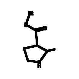 CCOC(=O)C1CCNC1C